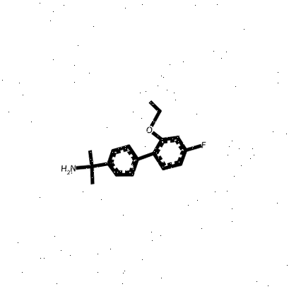 CCOc1cc(F)ccc1-c1ccc(C(C)(C)N)cc1